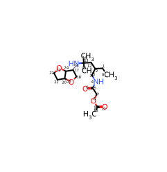 CCC(CNC(=O)COC(C)=O)CC(C)(C)N[C@@H]1COC2CCOC21